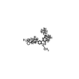 [2H]C([2H])([2H])n1nc(CC([2H])([2H])C([2H])([2H])[2H])c2nc(-c3cc(S(=O)(=O)NC([2H])([2H])C([2H])([2H])C4CCCN4C)ccc3OCCC)[nH]c(=O)c21